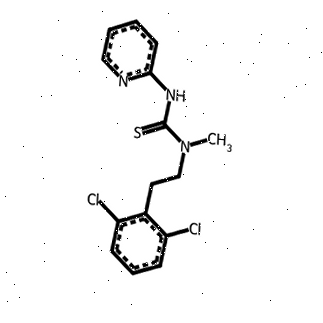 CN(CCc1c(Cl)cccc1Cl)C(=S)Nc1ccccn1